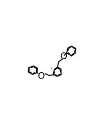 [c]1c(CCOc2ccccc2)cccc1CCOc1ccccc1